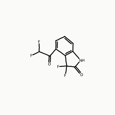 O=C(c1cccc2c1C(F)(F)C(=O)N2)C(F)F